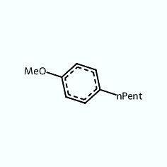 [CH2-][OH+]c1ccc(CCCCC)cc1